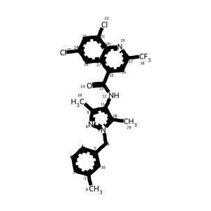 Cc1cccc(Cn2nc(C)c(NC(=O)c3cc(C(F)(F)F)nc4c(Cl)cc(Cl)cc34)c2C)c1